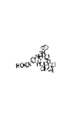 CC(Oc1ccc2c(c1)c(C(=O)Nc1ccc(N3CC[C@@H](O)C3)cc1)nn2C1CCCCO1)c1c(Cl)cncc1Cl